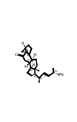 CC(C)[C@@H](C)/C=C/[C@@H](C)[C@H]1CC[C@H]2[C@@H]3CC(=O)[C@]45C[C@@H]4CC[C@]5(C)[C@H]3CC[C@]12C